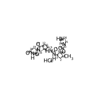 Cc1ccc(NC(=O)NCc2ccc3c(c2)CN(C2CCC(=O)NC2=O)C3=O)cc1OC(=O)CN1CCNCC1.Cl